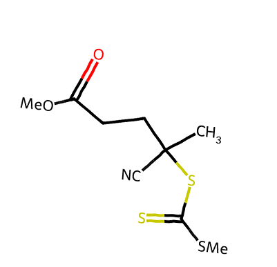 COC(=O)CCC(C)(C#N)SC(=S)SC